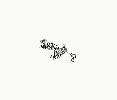 CN(C[C@@H](NC(=O)N[C@H](C(=O)N1C[C@H]2[C@@H]([C@H]1C(=O)N[C@@H](CC(F)F)C(=O)NCCCN1CCCC1=O)C2(C)C)C(C)(C)C)C(C)(C)C)S(C)(=O)=O